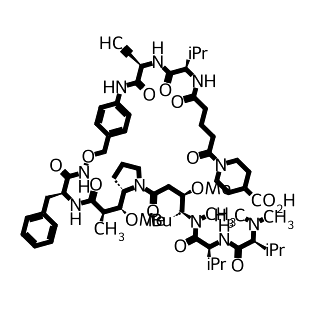 C#C[C@@H](NC(=O)[C@H](NC(=O)CCCC(=O)N1CCC(C(=O)O)CC1)C(C)C)C(=O)Nc1ccc(CONC(=O)[C@H](Cc2ccccc2)NC(=O)[C@H](C)[C@@H](OC)[C@@H]2CCCN2C(=O)C[C@@H](OC)[C@H]([C@@H](C)CC)N(C)C(=O)[C@@H](NC(=O)[C@H](C(C)C)N(C)C)C(C)C)cc1